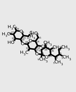 CCC(C)C(C)C1OC(C)(OC2C(C)C(CO)OC(OC3C(CC)OC(C)C(C)C3O)C2C)CC(C)C1C